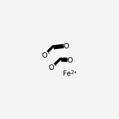 O=C[O-].O=C[O-].[Fe+2]